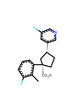 Cc1c(F)cccc1[C@]1(C(=O)O)CC[C@@H](c2cncc(F)c2)C1